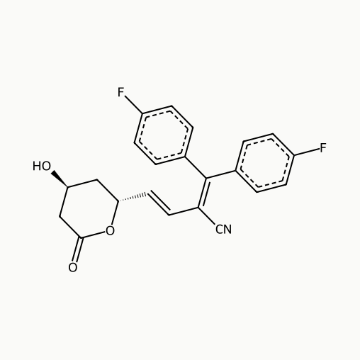 N#CC(/C=C/[C@H]1C[C@H](O)CC(=O)O1)=C(c1ccc(F)cc1)c1ccc(F)cc1